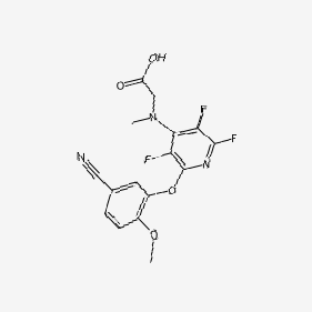 COc1ccc(C#N)cc1Oc1nc(F)c(F)c(N(C)CC(=O)O)c1F